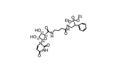 CCOP(=O)(OCC)C(CNC(=O)CCCNC(=O)[C@H]1O[C@@H](n2ccc(=O)[nH]c2=O)[C@H](O)[C@@H]1O)c1ccccc1